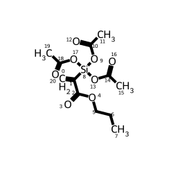 C=C(C(=O)OCCC)[Si](OC(C)=O)(OC(C)=O)OC(C)=O